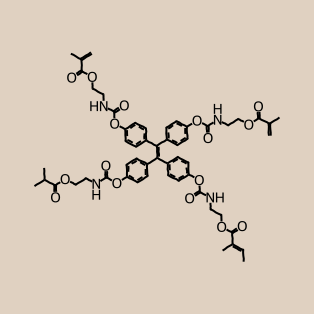 C=C(C)C(=O)OCCNC(=O)Oc1ccc(C(=C(c2ccc(OC(=O)NCCOC(=O)/C(C)=C/C)cc2)c2ccc(OC(=O)NCCOC(=O)C(C)C)cc2)c2ccc(OC(=O)NCCOC(=O)C(=C)C)cc2)cc1